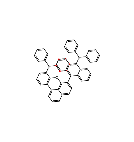 c1ccc(N(c2ccccc2)c2cccc3c2Oc2c(-c4c5ccccc5c(N(c5ccccc5)c5ccccc5)c5ccccc45)ccc4cccc-3c24)cc1